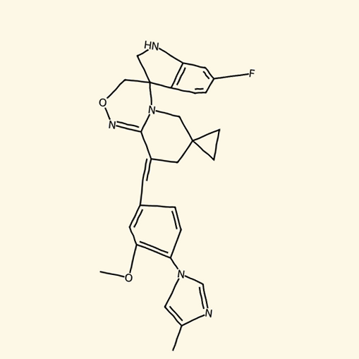 COc1cc(/C=C2\CC3(CC3)CN3C2=NOCC32CNc3cc(F)ccc32)ccc1-n1cnc(C)c1